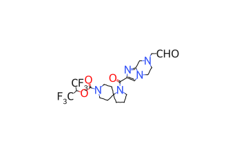 O=CCN1CCn2cc(C(=O)N3CCCC34CCN(C(=O)OC(C(F)(F)F)C(F)(F)F)CC4)nc2C1